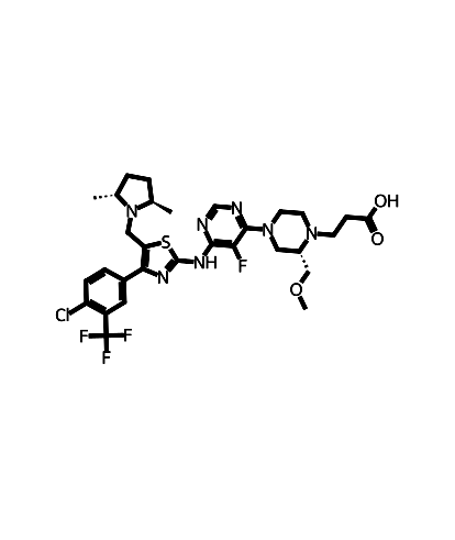 COC[C@@H]1CN(c2ncnc(Nc3nc(-c4ccc(Cl)c(C(F)(F)F)c4)c(CN4[C@H](C)CC[C@H]4C)s3)c2F)CCN1CCC(=O)O